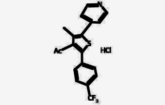 CC(=O)c1c(-c2ccc(C(F)(F)F)cc2)sc(-c2ccncc2)c1C.Cl